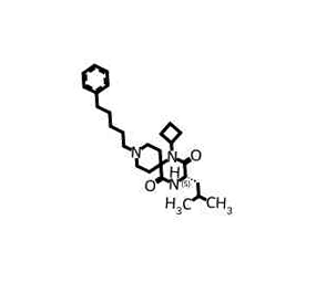 CC(C)C[C@@H]1NC(=O)C2(CCN(CCCCCc3ccccc3)CC2)N(C2CCC2)C1=O